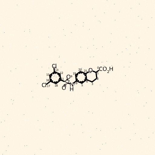 O=C(O)C1CCc2cc(NS(=O)(=O)c3cc(Cl)cc(Cl)c3)ccc2O1